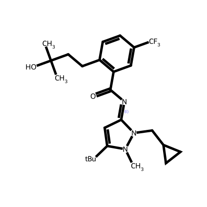 Cn1c(C(C)(C)C)c/c(=N\C(=O)c2cc(C(F)(F)F)ccc2CCC(C)(C)O)n1CC1CC1